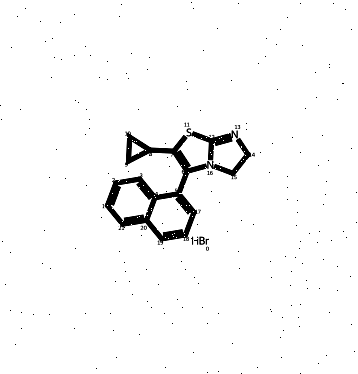 Br.c1ccc2c(C3=C(C4CC4)SC4=NCCN43)cccc2c1